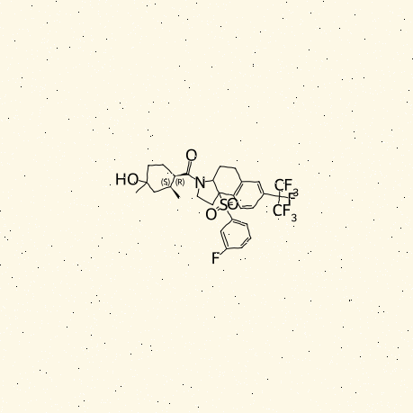 C[C@H]1CC(C)(O)CC[C@H]1C(=O)N1CCC2(S(=O)(=O)c3cccc(F)c3)c3ccc(C(F)(C(F)(F)F)C(F)(F)F)cc3CCC12